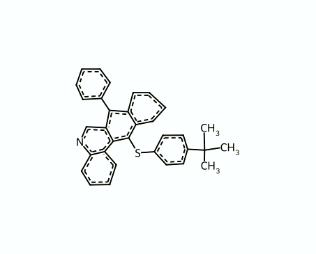 CC(C)(C)c1ccc(Sc2c3ccccc3c(-c3ccccc3)c3cnc4ccccc4c23)cc1